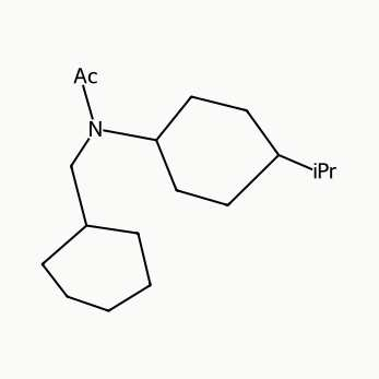 CC(=O)N(CC1CCCCC1)C1CCC(C(C)C)CC1